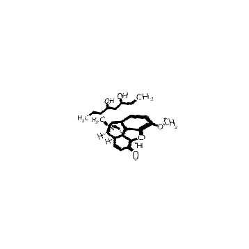 CCCC(O)CC(O)CC.COC1=C2O[C@H]3C(=O)C=C[C@H]4[C@H]5CC(C=C1)C2[C@@]34CCN5C